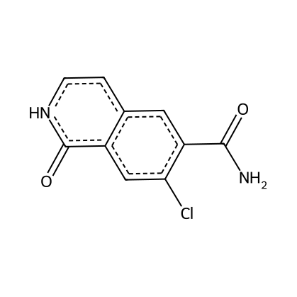 NC(=O)c1cc2cc[nH]c(=O)c2cc1Cl